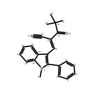 Cn1c(-c2ccccc2)c(/C=C(\C#N)C(=O)C(C)(C)C)c2ccccc21